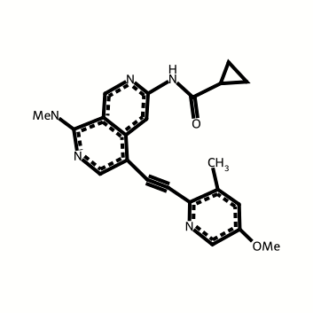 CNc1ncc(C#Cc2ncc(OC)cc2C)c2cc(NC(=O)C3CC3)ncc12